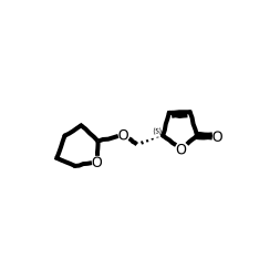 O=C1C=C[C@@H](COC2CCCCO2)O1